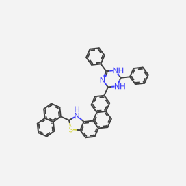 c1ccc(C2=NC(c3ccc4c(ccc5ccc6c(c54)NC(c4cccc5ccccc45)S6)c3)NC(c3ccccc3)N2)cc1